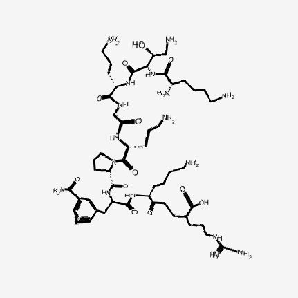 N=C(N)NCCCC(CCC(=O)[C@H](CCCCN)NC(=O)C(Cc1cccc(C(N)=O)c1)NC(=O)[C@@H]1CCCN1C(=O)[C@@H](CCCN)NC(=O)CNC(=O)[C@H](CCCN)NC(=O)[C@@H](NC(=O)[C@@H](N)CCCCN)[C@@H](O)CN)C(=O)O